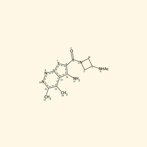 CC(=O)NC1CN(C(=O)c2sc3nnc(C)c(C)c3c2N)C1